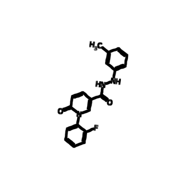 Cc1cccc(NNC(=O)c2ccc(=O)n(-c3ccccc3F)c2)c1